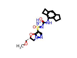 COC[C@H]1Cn2ncc([S@](N)(=O)=NC(=O)Nc3c4c(cc5c3CC5)CCC4)c2O1